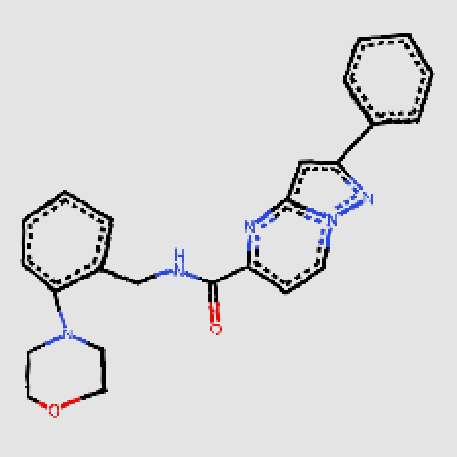 O=C(NCc1ccccc1N1CCOCC1)c1ccn2nc(-c3ccccc3)cc2n1